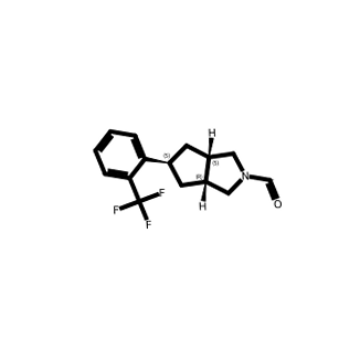 O=[C]N1C[C@H]2C[C@H](c3ccccc3C(F)(F)F)C[C@H]2C1